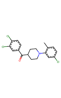 [CH2]c1ccc(Cl)cc1N1CCC(C(=O)c2ccc(Cl)c(Cl)c2)CC1